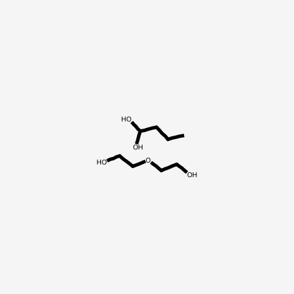 CCCC(O)O.OCCOCCO